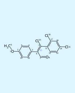 COc1ccc(/C(C=O)=C(\Cl)c2ccc(Cl)cc2Cl)cc1